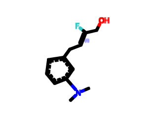 CN(C)c1cccc(C/C=C(\F)CO)c1